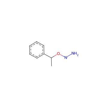 CC(O[N]N)c1ccccc1